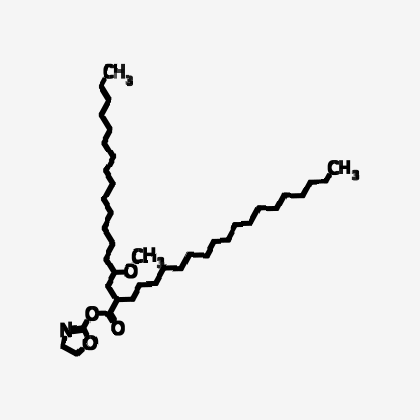 CCCCCCCCCCCCCCCCCCC(CC(CCCCCCCCCCCCCC)OC)C(=O)OC1=NCCO1